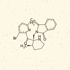 Cc1ccc(Br)c(C(=O)[C@]2(CN3C(=O)c4ccccc4C3=O)NCCC[C@H]2C)n1